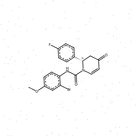 COc1ccc(NC(=O)N2C=CC(=O)C[C@H]2c2ccc(F)cc2)c(Br)c1